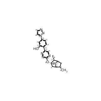 CC1CC2NC1C[C@H](Oc1ncc(-c3ccc(-n4ccnn4)cc3O)nn1)[C@H]2F